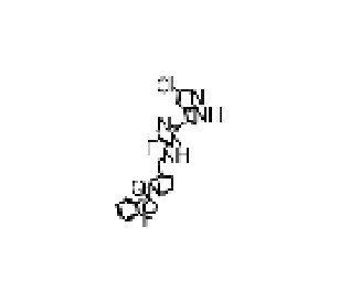 O=S(=O)(c1ccccc1F)N1CCCC(CNc2nc(-c3c[nH]c4ncc(Cl)cc34)ncc2F)C1